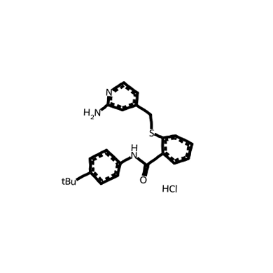 CC(C)(C)c1ccc(NC(=O)c2ccccc2SCc2ccnc(N)c2)cc1.Cl